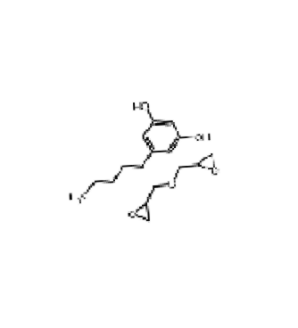 C(OCC1CO1)C1CO1.CCCCCc1cc(O)cc(O)c1